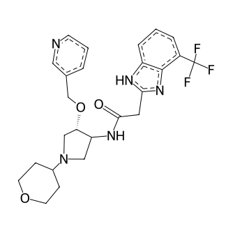 O=C(Cc1nc2c(C(F)(F)F)cccc2[nH]1)NC1CN(C2CCOCC2)C[C@@H]1OCc1cccnc1